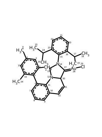 Cc1cc(C)c(-c2cccc3c2N2CN(c4c(C(C)C)cccc4C(C)C)[C](=[Au][Cl])C2C=C3)c(C)c1